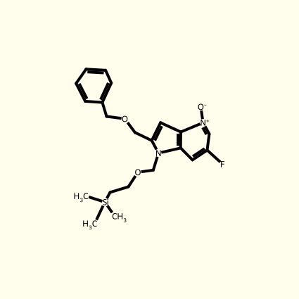 C[Si](C)(C)CCOCn1c(COCc2ccccc2)cc2c1cc(F)c[n+]2[O-]